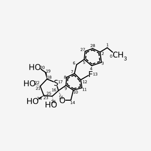 CCc1ccc(Cc2cc3c(cc2F)CO[C@]32S[C@H](CO)[C@@H](O)[C@H](O)[C@H]2O)cc1